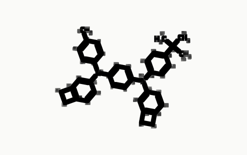 Cc1ccc(N(c2ccc(N(c3ccc(C(C)(C)C)cc3)c3ccc4c(c3)CC4)cc2)c2ccc3c(c2)CC3)cc1